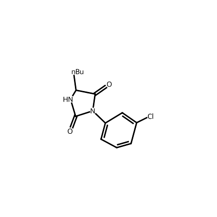 CCCCC1NC(=O)N(c2cccc(Cl)c2)C1=O